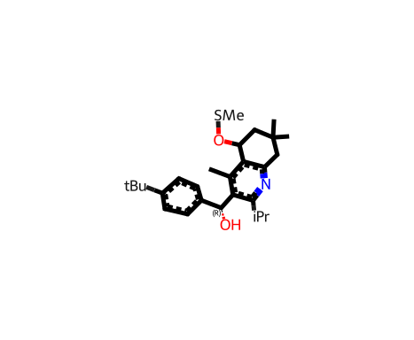 CSOC1CC(C)(C)Cc2nc(C(C)C)c([C@H](O)c3ccc(C(C)(C)C)cc3)c(C)c21